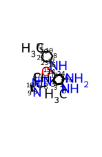 CNc1cc(NCc2nccn2C)c(C(=O)N[C@H]2CC[C@H](C)CC2)cc1N